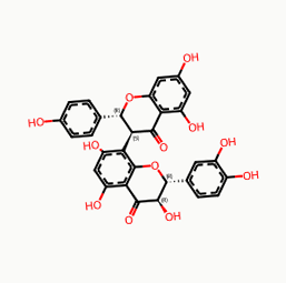 O=C1c2c(O)cc(O)c([C@@H]3C(=O)c4c(O)cc(O)cc4O[C@H]3c3ccc(O)cc3)c2O[C@H](c2ccc(O)c(O)c2)[C@H]1O